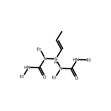 CC=C[SiH](N(CC)C(=O)NCC)N(CC)C(=O)NCC